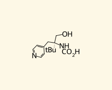 CC(C)(C)[C@@](CO)(Cc1ccncc1)NC(=O)O